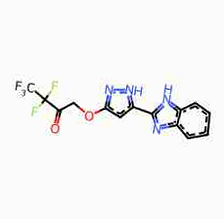 O=C(COc1cc(-c2nc3ccccc3[nH]2)[nH]n1)C(F)(F)C(F)(F)F